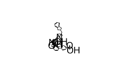 CN(CC(O)CNC(C)(C)CC1Cc2ccccc2C1)S(=O)(=O)c1cccc(-c2ccc(C(=O)O)cc2Cl)c1